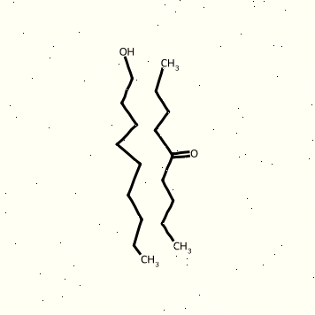 CCCCC(=O)CCCC.CCCCCCCCCO